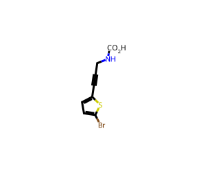 O=C(O)NCC#Cc1ccc(Br)s1